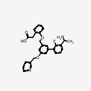 CC(N)c1cccc(-c2cc(COc3ccccc3CC(=O)O)cc(OCc3cccnc3)c2)c1F